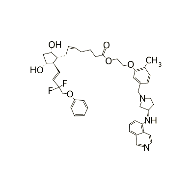 Cc1ccc(CN2CC[C@@H](Nc3cccc4cnccc34)C2)cc1OCCOC(=O)CCC/C=C\C[C@@H]1[C@@H](/C=C/C(F)(F)COc2ccccc2)[C@H](O)C[C@@H]1O